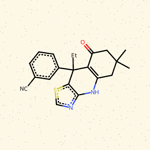 CCC1(c2cccc(C#N)c2)C2=C(CC(C)(C)CC2=O)Nc2ncsc21